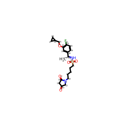 C[C@@H](NS(=O)(=O)CCCCCN1CC(=O)CC1=O)c1ccc(F)c(OCC2CC2)c1